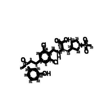 CP(=O)(CCc1cc(Cl)c(CN[C@@H](CC2CCN(S(C)(=O)=O)C2)C(=O)O)c(Cl)c1)c1cccc(O)c1